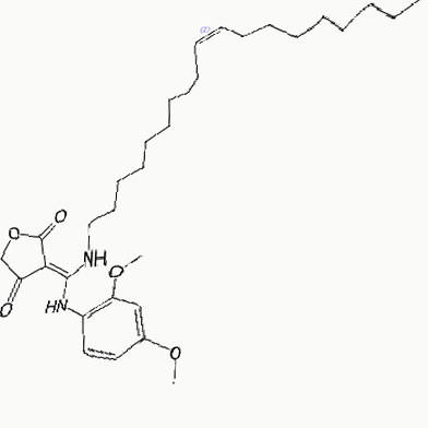 CCCCCCCC/C=C\CCCCCCCCNC(Nc1ccc(OC)cc1OC)=C1C(=O)COC1=O